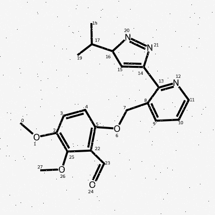 COc1ccc(OCc2cccnc2C2=CC(C(C)C)N=N2)c(C=O)c1OC